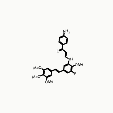 COc1cc(C=Cc2cc(F)c(OC)c(NC=CC(=O)c3ccc(N)cc3)c2)cc(OC)c1OC